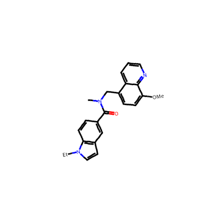 CCn1ccc2cc(C(=O)N(C)Cc3ccc(OC)c4ncccc34)ccc21